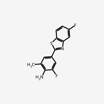 Cc1cc(-c2nc3cc(F)ccc3s2)cc(F)c1N